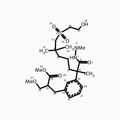 CNNC(=O)C(C)(CCCC(C)(C)CS(=O)(=O)CCO)c1cccc(CC(COC)C(=O)OC)c1